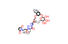 CC(=O)OCc1ccc(O[C@@H]2O[C@H](C(=O)O)[C@@H](O)[C@H](O)[C@H]2O)cc1OCCOCCNC(=O)[C@H](CS(=O)(=O)O)NC(=O)CCN1C(=O)C=CC1=O